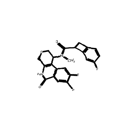 CN(C(=O)C1Cc2ccc(F)cc21)C1COCc2[nH]c(=O)c3cc(F)c(F)cc3c21